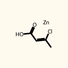 C/C(Cl)=C/C(=O)O.[Zn]